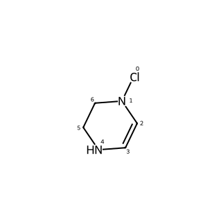 ClN1C=CNCC1